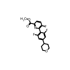 COC(=O)c1ccc(F)c(-c2c(F)cc(C3CCOCC3)cc2F)n1